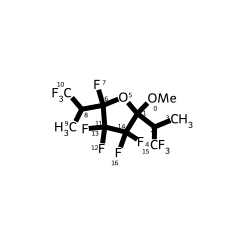 COC1(C(C)C(F)(F)F)OC(F)(C(C)C(F)(F)F)C(F)(F)C1(F)F